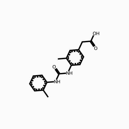 Cc1ccccc1NC(=O)Nc1ccc(CC(=O)O)cc1C